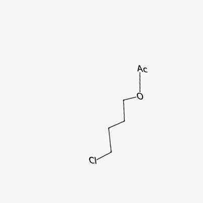 [CH2]C(=O)OCCCCCl